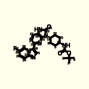 CC(C)(C)OC(=O)N[C@H]1CC[C@H](n2c(=O)[nH]c3cnc(-c4cnc5ccc(F)cn45)nc32)CC1